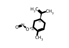 C=C(C)[C@H]1CC=C(C)[C@H](ON=O)C1